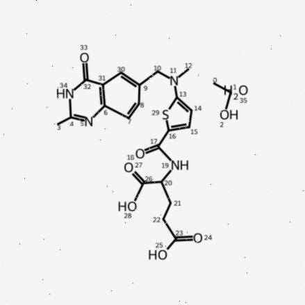 CCO.Cc1nc2ccc(CN(C)c3ccc(C(=O)NC(CCC(=O)O)C(=O)O)s3)cc2c(=O)[nH]1.O